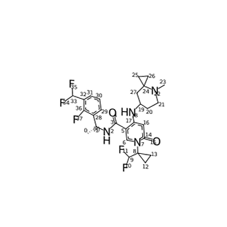 C[C@@H](NC(=O)c1cn(C2(C(F)F)CC2)c(=O)cc1NC1CCN(C)C2(CC2)C1)c1cccc(C(F)F)c1F